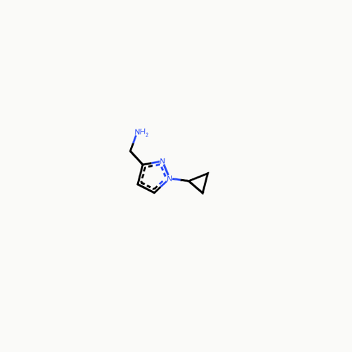 NCc1ccn(C2CC2)n1